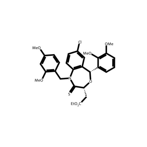 CCOC(=O)C[C@H]1O[C@@H](c2cccc(OC)c2OC)c2cc(Cl)ccc2N(Cc2ccc(OC)cc2OC)C1=S